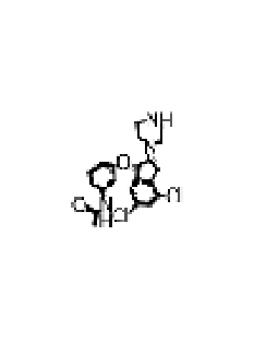 CC(=O)Nc1cccc(O[C@H]2c3cc(Cl)cc(Cl)c3C[C@H]2N2CCNCC2)c1